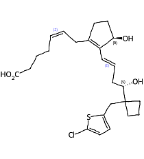 O=C(O)CCC/C=C\CC1=C(/C=C/C[C@H](O)C2(Cc3ccc(Cl)s3)CCC2)[C@H](O)CC1